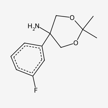 CC1(C)OCC(N)(c2cccc(F)c2)CO1